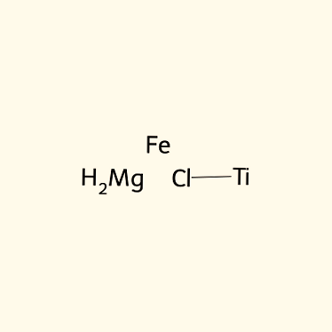 [Cl][Ti].[Fe].[MgH2]